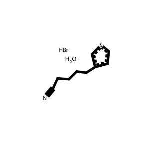 Br.N#CCCCCc1ccsc1.O